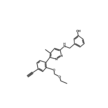 C#Cc1ccc(-c2nnc(NCc3cccc(O)c3)cc2C)c(OCOCC)c1